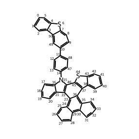 c1ccc2c(c1)sc1ccc(-c3ccc(-n4c5ccccc5c5c6c7ccccc7c7ccccc7c6c6c7ccccc7sc6c54)cc3)cc12